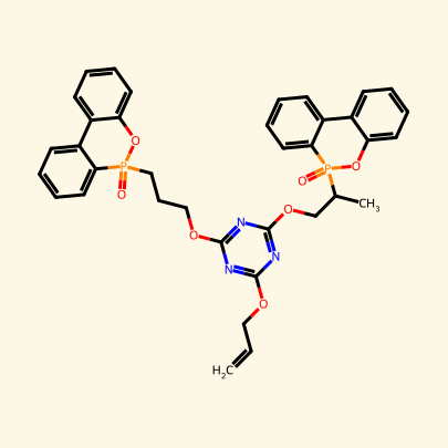 C=CCOc1nc(OCCCP2(=O)Oc3ccccc3-c3ccccc32)nc(OCC(C)P2(=O)Oc3ccccc3-c3ccccc32)n1